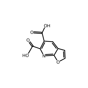 O=C(O)c1cc2ccoc2nc1C(=O)O